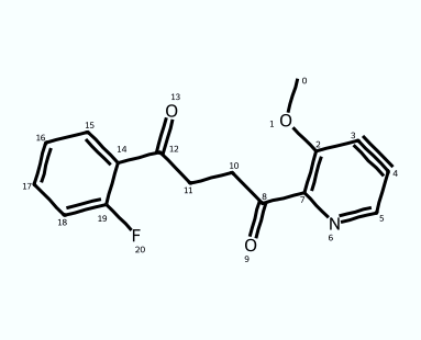 COc1c#ccnc1C(=O)CCC(=O)c1ccccc1F